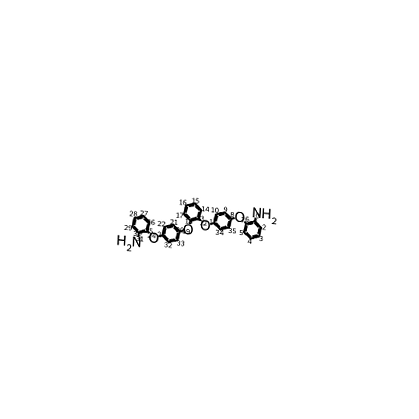 Nc1ccccc1Oc1ccc(Oc2ccccc2Oc2ccc(Oc3ccccc3N)cc2)cc1